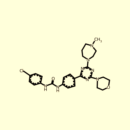 CN1CCCN(c2nc(-c3ccc(NC(=O)Nc4ccc(Cl)cc4)cc3)nc(N3CCOCC3)n2)CC1